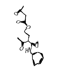 CC(=O)CC(=O)OCCC(C(C)=O)C(=O)Nc1ccccc1